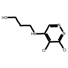 OCCCNc1cnnc(Cl)c1Cl